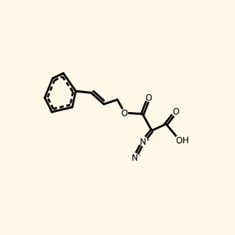 [N-]=[N+]=C(C(=O)O)C(=O)OCC=Cc1ccccc1